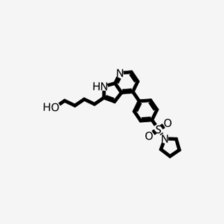 O=S(=O)(c1ccc(-c2ccnc3[nH]c(CCCCO)cc23)cc1)N1CCCC1